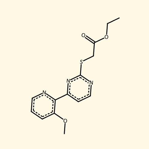 CCOC(=O)CSc1nccc(-c2ncccc2OC)n1